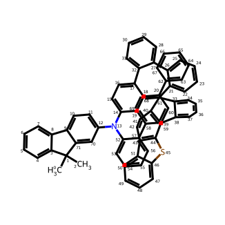 CC1(C)c2ccccc2-c2ccc(N(c3ccc4c(c3)C3(c5ccccc5-c5ccccc5-4)c4ccccc4-c4c3ccc3c4sc4ccccc43)c3ccccc3-c3ccc(-c4ccccc4)cc3)cc21